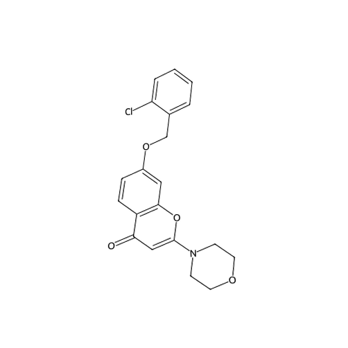 O=c1cc(N2CCOCC2)oc2cc(OCc3ccccc3Cl)ccc12